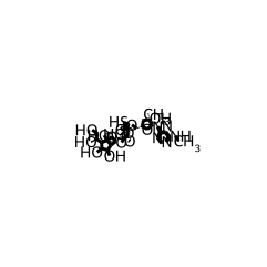 CNc1ncnc2c1ncn2[C@@H]1O[C@H](COP(=O)(S)OP(=O)(O)OC2OC3(O)C2C(O)C(O)C3[C@@H](O)CO)C[C@@]1(C)O